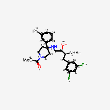 COC(=O)N1CCC(NC[C@@H](O)[C@H](Cc2cc(F)cc(F)c2)NC(C)=O)(c2cccc(C(C)C)c2)CC1